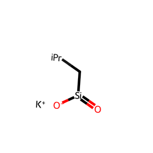 CC(C)C[Si](=O)[O-].[K+]